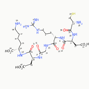 N=C(N)NCCC[C@H](NC(=O)[C@H](CC(=O)O)NC(=O)[C@@H](N)CS)C(=O)NCC(=O)N[C@@H](CC(=O)O)C(=O)N[C@@H](CCCCN)C(=O)O